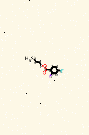 O=C(OCCC[SiH3])c1ccc(F)cc1I